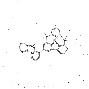 CC1(C)C2=C3C(CC=C2)C(C)(C)C2=c4c(c5cc(-c6cccc7c6sc6ccccc67)cc1c5n43)=CCC2